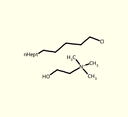 CCCCCCCCCCCCCl.C[N+](C)(C)CCO